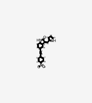 O=C1Nc2ccc(C#Cc3ccc([N+](=O)[O-])cc3)cc2C1=Cc1ccc[nH]1